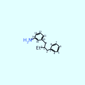 CCC(Cc1ccccc1)Cc1cccc(N)c1